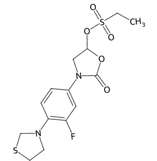 CCS(=O)(=O)OC1CN(c2ccc(N3CCSC3)c(F)c2)C(=O)O1